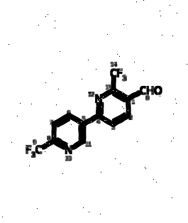 O=Cc1ccc(-c2ccc(C(F)(F)F)nc2)nc1C(F)(F)F